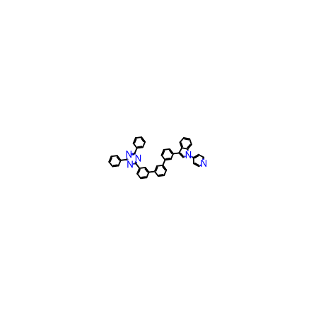 c1ccc(-c2nc(-c3ccccc3)nc(-c3cccc(-c4cccc(-c5cccc(-c6cn(-c7ccncc7)c7ccccc67)c5)c4)c3)n2)cc1